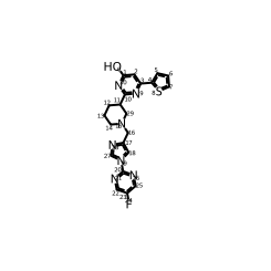 Oc1cc(-c2cccs2)nc(C2CCCN(Cc3cn(-c4ncc(F)cn4)cn3)C2)n1